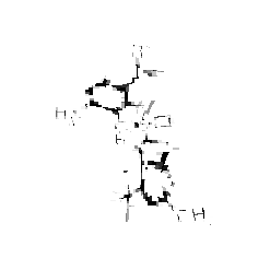 Cc1cc(C(F)(F)F)n2nc(S(=O)(=O)Nc3c([N+](=O)[O-])ccc(C)c3C)nc2n1